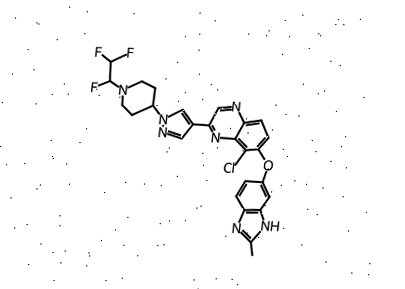 Cc1nc2ccc(Oc3ccc4ncc(-c5cnn(C6CCN(C(F)C(F)F)CC6)c5)nc4c3Cl)cc2[nH]1